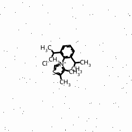 Cc1sc[n+](-c2c(C(C)C)cccc2C(C)C)c1C.[Cl-]